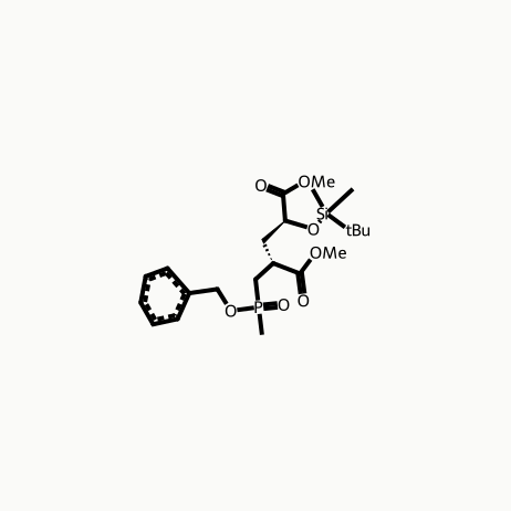 COC(=O)[C@@H](C[C@H](O[Si](C)(C)C(C)(C)C)C(=O)OC)CP(C)(=O)OCc1ccccc1